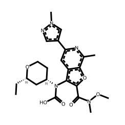 CC[C@H]1C[C@@H](N(C(=O)O)c2c(C(=O)N(C)OC)oc3c(C)nc(-c4cnn(C)c4)cc23)CCO1